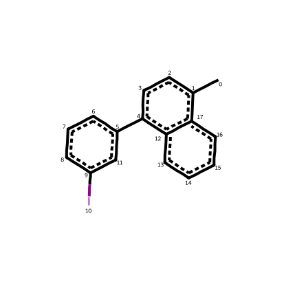 Cc1ccc(-c2cccc(I)c2)c2ccccc12